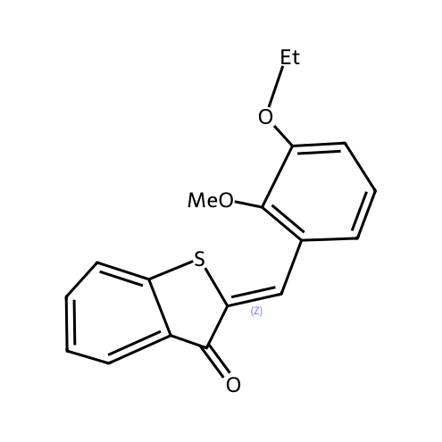 CCOc1cccc(/C=C2\Sc3ccccc3C2=O)c1OC